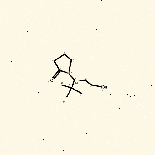 CC(C)(C)CC[C@H](N1CCCC1=O)C(C)(C)F